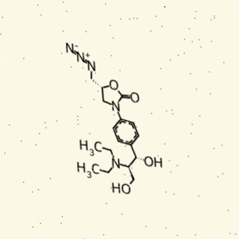 CCN(CC)[C@H](CO)[C@@H](O)c1ccc(N2C[C@H](CN=[N+]=[N-])OC2=O)cc1